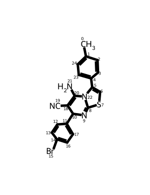 Cc1ccc(C2=CSC3=NC(c4ccc(Br)cc4)C(C#N)=C(N)N23)cc1